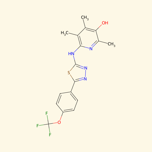 Cc1nc(Nc2nnc(-c3ccc(OC(F)(F)F)cc3)s2)c(C)c(C)c1O